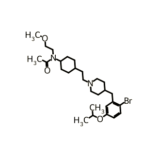 COCCN(C(C)=O)C1CCC(CCN2CCC(Cc3cc(OC(C)C)ccc3Br)CC2)CC1